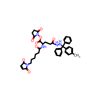 Cc1ccc(C(NNC(=O)CCC(NC(=O)CCCCCN2C(=O)C=CC2=O)C(=O)ON2C(=O)CCC2=O)(c2ccccc2)c2ccccc2)cc1